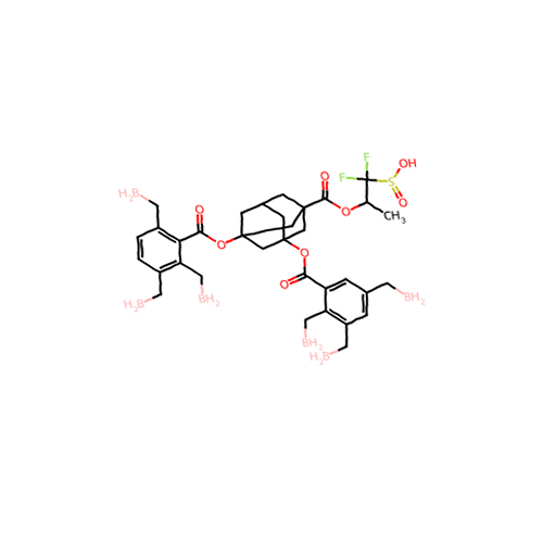 BCc1cc(CB)c(CB)c(C(=O)OC23CC4CC(OC(=O)c5c(CB)ccc(CB)c5CB)(C2)CC(C(=O)OC(C)C(F)(F)S(=O)O)(C4)C3)c1